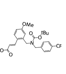 COC(=O)/C=C/c1ccc(OC)cc1CN(Cc1ccc(C(F)(F)F)cc1)C(=O)OC(C)(C)C